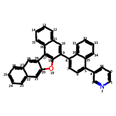 c1cncc(-c2ccc(-c3cc4ccccc4c4c3oc3cc5ccccc5cc34)c3ccccc23)c1